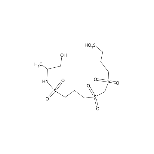 CC(CO)NS(=O)(=O)CCCS(=O)(=O)CS(=O)(=O)CCCS(=O)(=O)O